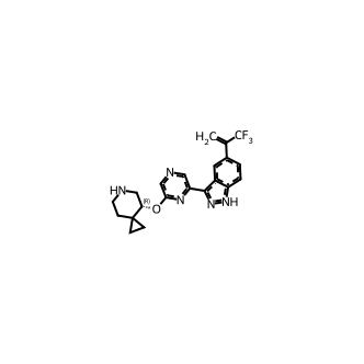 C=C(c1ccc2[nH]nc(-c3cncc(O[C@H]4CNCCC45CC5)n3)c2c1)C(F)(F)F